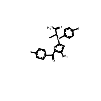 CC(C(N)=O)N(c1ccc(F)cc1)c1nc(N)c(C(=O)c2ccc(I)cc2)s1